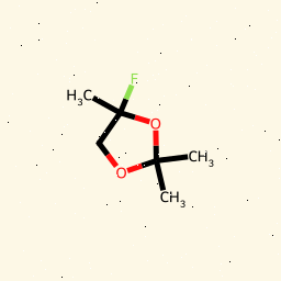 CC1(F)COC(C)(C)O1